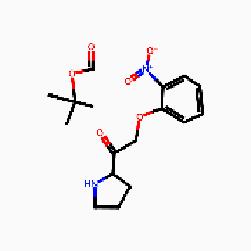 CC(C)(C)OC=O.O=C(COc1ccccc1[N+](=O)[O-])C1CCCN1